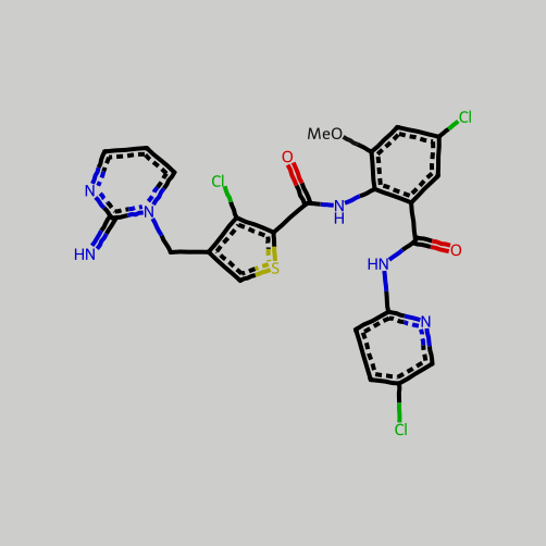 COc1cc(Cl)cc(C(=O)Nc2ccc(Cl)cn2)c1NC(=O)c1scc(Cn2cccnc2=N)c1Cl